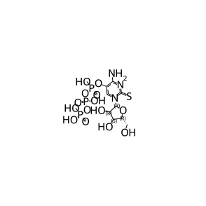 Nc1nc(=S)n([C@@H]2O[C@H](CO)[C@@H](O)[C@H]2O)cc1OP(=O)(O)OP(=O)(O)OP(=O)(O)O